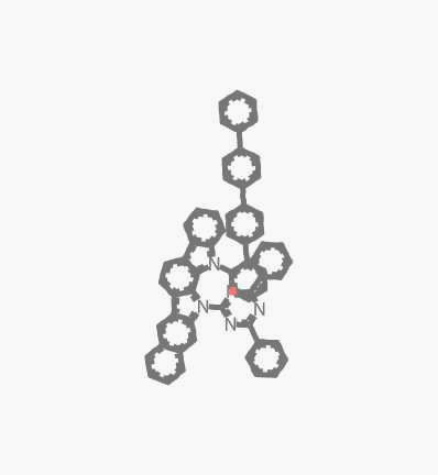 c1ccc(-c2ccc(-c3ccc(-c4ccccc4-n4c5ccccc5c5ccc6c7cc8ccccc8cc7n(-c7nc(-c8ccccc8)nc(-c8ccccc8)n7)c6c54)cc3)cc2)cc1